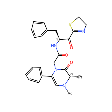 CC(=O)N1C=C(c2ccccc2)N(CC(=O)N[C@@H](Cc2ccccc2)C(=O)C2=NCCS2)C(=O)[C@@H]1C(C)C